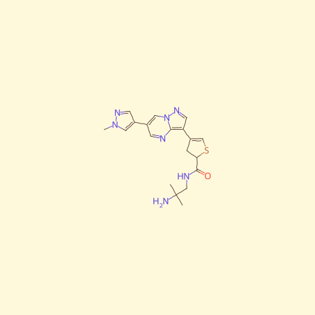 Cn1cc(-c2cnc3c(C4=CSC(C(=O)NCC(C)(C)N)C4)cnn3c2)cn1